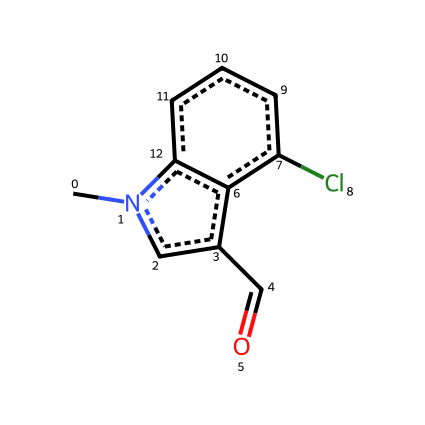 Cn1cc(C=O)c2c(Cl)cccc21